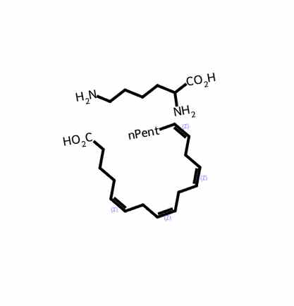 CCCCC/C=C\C/C=C\C/C=C\C/C=C\CCCC(=O)O.NCCCCC(N)C(=O)O